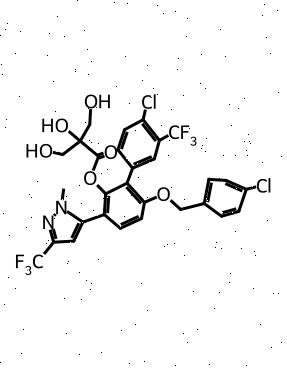 Cn1nc(C(F)(F)F)cc1-c1ccc(OCc2ccc(Cl)cc2)c(-c2ccc(Cl)c(C(F)(F)F)c2)c1OC(=O)C(O)(CO)CO